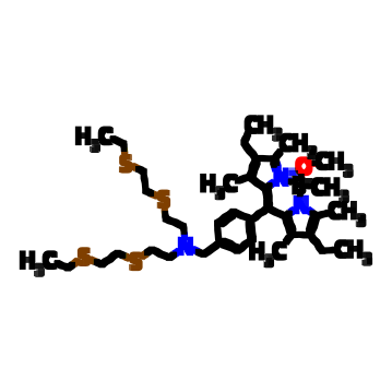 CCSCCSCCN(CCSCCSCC)Cc1ccc(C2=C3C(C)=C(CC)C(C)=[N+]3[B-](C)(OC)n3c(C)c(CC)c(C)c32)cc1